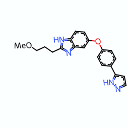 COCCCc1nc2cc(Oc3ccc(-c4ccn[nH]4)cc3)ccc2[nH]1